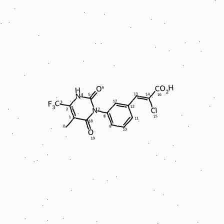 Cc1c(C(F)(F)F)[nH]c(=O)n(-c2cccc(C=C(Cl)C(=O)O)c2)c1=O